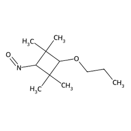 CCCOC1C(C)(C)C(N=O)C1(C)C